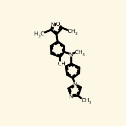 Cc1cn(-c2ccc(N(C)c3cc(-c4c(C)noc4C)ccc3C)cc2)cn1